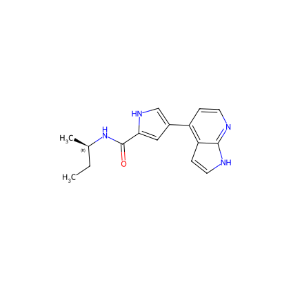 CC[C@@H](C)NC(=O)c1cc(-c2ccnc3[nH]ccc23)c[nH]1